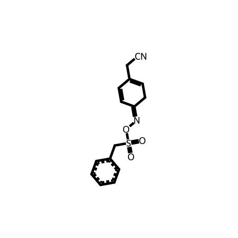 N#CCC1=CCC(=NOS(=O)(=O)Cc2ccccc2)C=C1